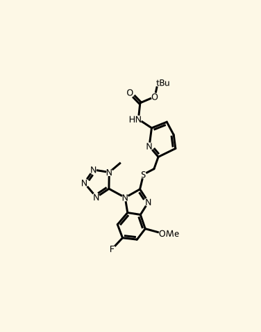 COc1cc(F)cc2c1nc(SCc1cccc(NC(=O)OC(C)(C)C)n1)n2-c1nnnn1C